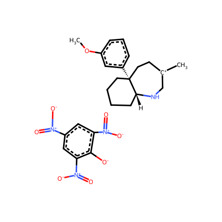 COc1cccc([C@@]23CCCC[C@H]2NC[C+](C)CC3)c1.O=[N+]([O-])c1cc([N+](=O)[O-])c([O-])c([N+](=O)[O-])c1